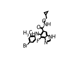 Cc1cc(Br)ccc1Nc1c(C(=O)NOCC2CC2)cc2[nH]cnc2c1F